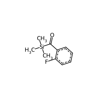 C[Si](C)(C)C(=O)c1ccccc1F